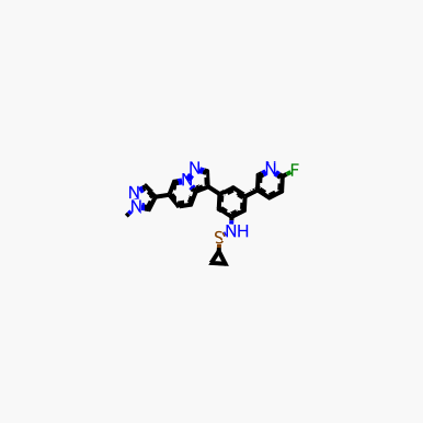 Cn1cc(-c2ccc3c(-c4cc(NSC5CC5)cc(-c5ccc(F)nc5)c4)cnn3c2)cn1